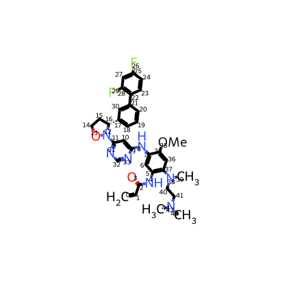 C=CC(=O)Nc1cc(Nc2cc(N3OCC[C@@H]3c3cccc(-c4ccc(F)cc4F)c3)ncn2)c(OC)cc1N(C)CCN(C)C